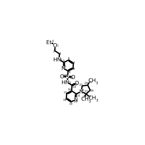 CCOCCNc1cccc(S(=O)(=O)NC(=O)c2cccnc2N2CC(C)CC2(C)C)n1